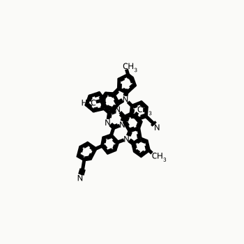 Cc1ccc2c(c1)c1cc(C)ccc1n2-c1ccc(C#N)cc1-c1nc(-c2ccccc2)nc(-c2cc(-c3cccc(C#N)c3)ccc2-n2c3ccc(C)cc3c3cc(C)ccc32)n1